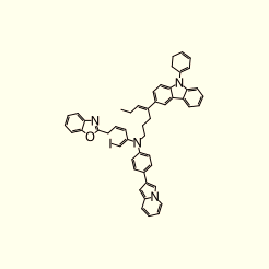 CC/C=C(\CCCN(C(/C=C\Cc1nc2ccccc2o1)=C/I)c1ccc(-c2cc3ccccn3c2)cc1)c1ccc2c(c1)c1ccccc1n2C1=CC=CCC1